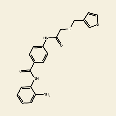 Nc1ccccc1NC(=O)c1ccc(NC(=O)COCc2ccsc2)cc1